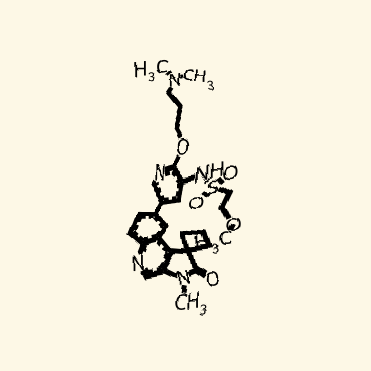 COCCS(=O)(=O)Nc1cc(-c2ccc3ncc4c(c3c2)C2(CCC2)C(=O)N4C)cnc1OCCCN(C)C